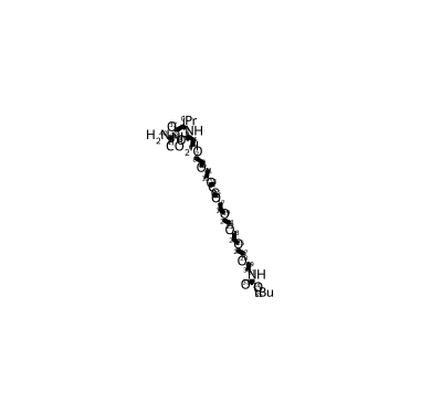 CC(C)C(NC(=O)CCOCCOCCOCCOCCOCCOCCOCCOCCNC(=O)OC(C)(C)C)C(=O)N[C@@H](N)C(=O)O